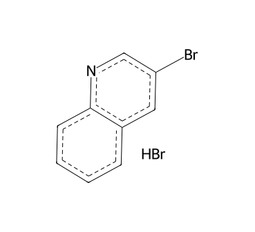 Br.Brc1cnc2ccccc2c1